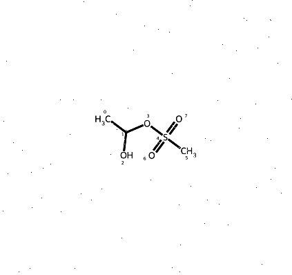 C[C](O)OS(C)(=O)=O